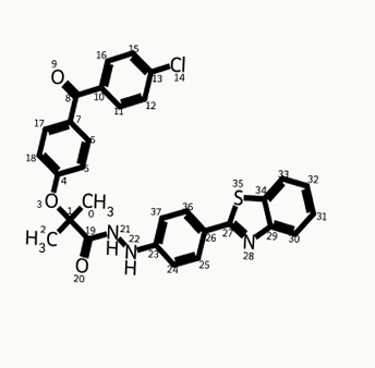 CC(C)(Oc1ccc(C(=O)c2ccc(Cl)cc2)cc1)C(=O)NNc1ccc(-c2nc3ccccc3s2)cc1